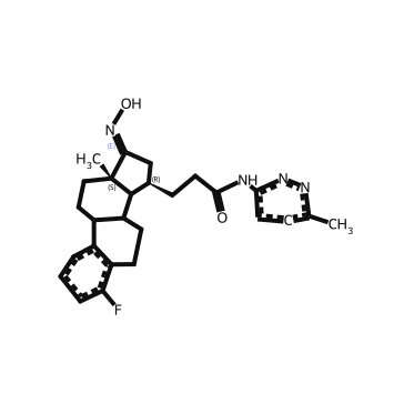 Cc1ccc(NC(=O)CC[C@@H]2C/C(=N\O)[C@@]3(C)CCC4c5cccc(F)c5CCC4C23)nn1